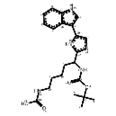 CC(C)(C)OC(=O)NC(CCCCNC(=O)O)c1ncc(-c2c[nH]c3ccccc23)[nH]1